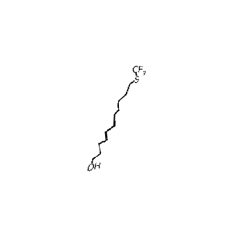 OCCCCCCCCCCCSC(F)(F)F